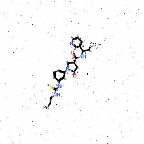 CC(C)CCNC(=S)Nc1cccc(N2CC(C(=O)NC(CC(=O)O)c3cccnc3)CC2=O)c1